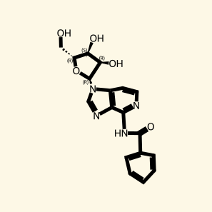 O=C(Nc1nccc2c1ncn2[C@@H]1O[C@H](CO)[C@@H](O)[C@H]1O)c1ccccc1